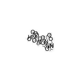 CC[C@H](C)[C@@H]([C@@H](CC(=O)N1CCC[C@H]1[C@H](OC)[C@@H](C)C(=O)N[C@@H](Cc1ccccc1)C(=O)OC)OC)N(C)C(=O)[C@@H](NC(=O)C(C(C)C)N(C)CCc1ccc(OC)cc1)C(C)C